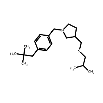 CC(C)CSCC1CCN(Cc2ccc(CC(C)(C)C)cc2)C1